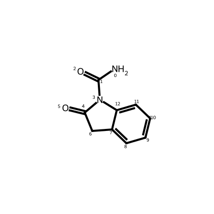 NC(=O)N1C(=O)Cc2cc[c]cc21